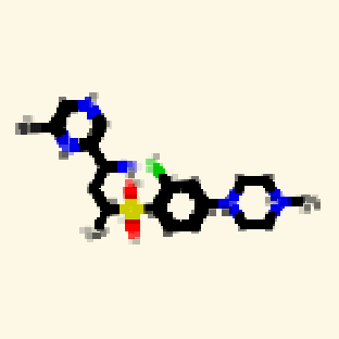 C[C@@H](CC(=N)c1cncc(C#N)n1)S(=O)(=O)c1ccc(N2CCN(C)CC2)cc1Cl